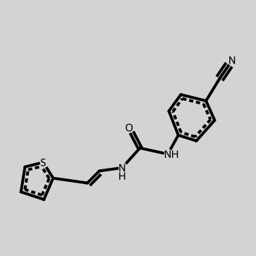 N#Cc1ccc(NC(=O)N/C=C/c2cccs2)cc1